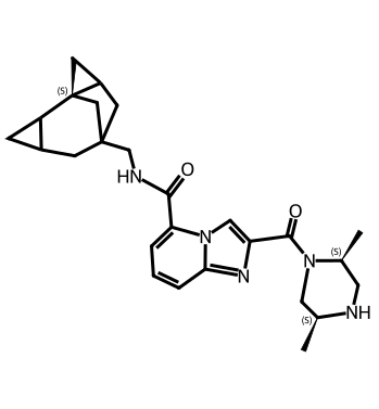 C[C@H]1CN(C(=O)c2cn3c(C(=O)NCC45CC6CC6[C@@]6(CC6C4)C5)cccc3n2)[C@@H](C)CN1